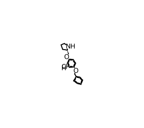 [Cl-].[H+].c1ccc(COc2ccc(OC[C@H]3CCCN3)cc2)cc1